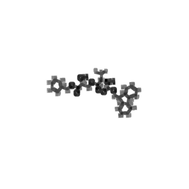 CC(C)[C@H](NC(=O)OCC1c2ccccc2-c2ccccc21)C(=O)OCC(O)C(=O)OCc1ccccc1